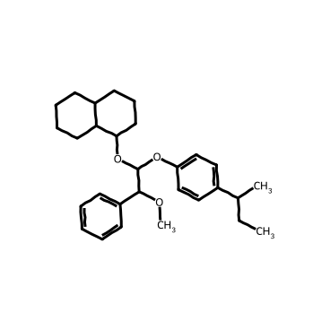 CCC(C)c1ccc(OC(OC2CCCC3CCCCC32)C(OC)c2ccccc2)cc1